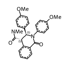 CNC(=O)[C@H]1c2ccccc2C(=O)N(c2ccc(OC)cc2)[C@@H]1c1ccc(OC)cc1